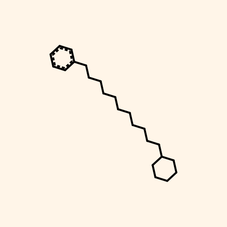 c1ccc(CCCCCCCCCCCC2CCCCC2)cc1